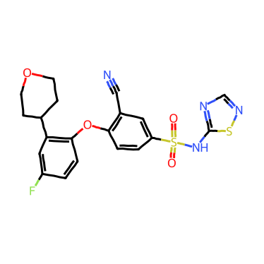 N#Cc1cc(S(=O)(=O)Nc2ncns2)ccc1Oc1ccc(F)cc1C1CCOCC1